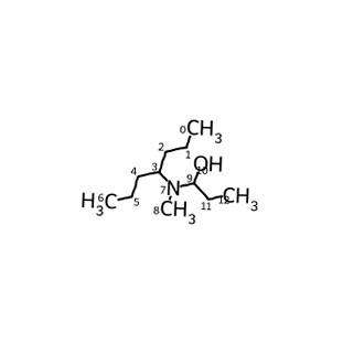 CCCC(CCC)N(C)C(O)CC